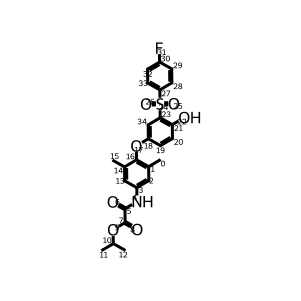 Cc1cc(NC(=O)C(=O)OC(C)C)cc(C)c1Oc1ccc(O)c(S(=O)(=O)c2ccc(F)cc2)c1